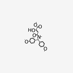 COC(=O)/C(O)=C/C(=O)N(C)C(c1ccc(OC)cc1)c1ccc(OC)cc1